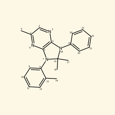 Cc1cnc2c(n1)N(c1ccccc1C)C(C)(C)N2c1ccccc1